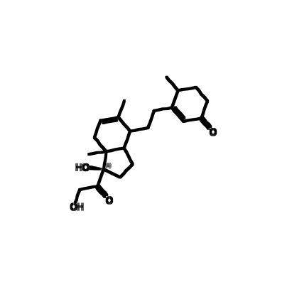 CC1=CCC2(C)C(CC[C@]2(O)C(=O)CO)C1CCC1=CC(=O)CCC1C